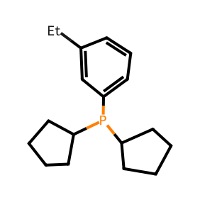 CCc1cccc(P(C2CCCC2)C2CCCC2)c1